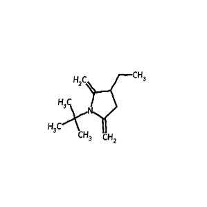 C=C1CC(CC)C(=C)N1C(C)(C)C